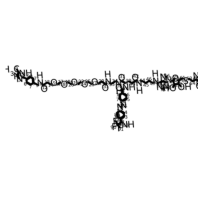 Cc1nnc(-c2ccc(CNC(=O)CCOCCOCCOCCOCCOCCC(=O)NCCNC(=O)[C@@H](CCC(=O)NCCCCNc3ncnc4c3ncn4C3OC(CSCCC(N)C(=O)O)C(O)C3O)NC(=O)c3ccc(/N=N/c4ccc(C(=N)C(F)(F)F)cc4)cc3)cc2)[nH]1